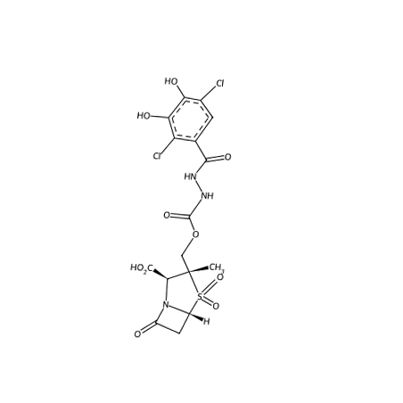 C[C@]1(COC(=O)NNC(=O)c2cc(Cl)c(O)c(O)c2Cl)[C@H](C(=O)O)N2C(=O)C[C@H]2S1(=O)=O